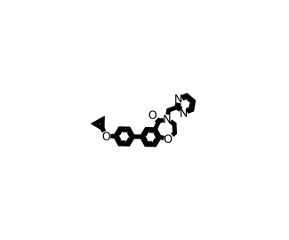 O=C1c2cc(-c3ccc(OC4CC4)cc3)ccc2OCCN1Cc1ncccn1